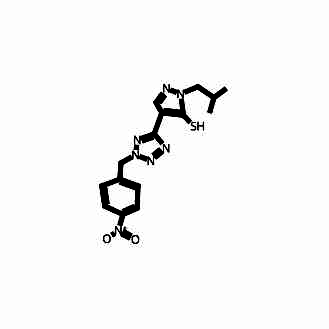 CC(C)Cn1ncc(-c2nnn(Cc3ccc([N+](=O)[O-])cc3)n2)c1S